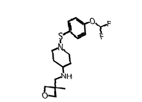 CC1(CNC2CCN(Sc3ccc(OC(F)F)cc3)CC2)COC1